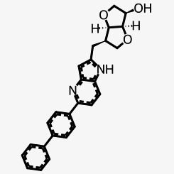 O[C@@H]1CO[C@@H]2[C@H](Cc3cc4nc(-c5ccc(-c6ccccc6)cc5)ccc4[nH]3)CO[C@@H]21